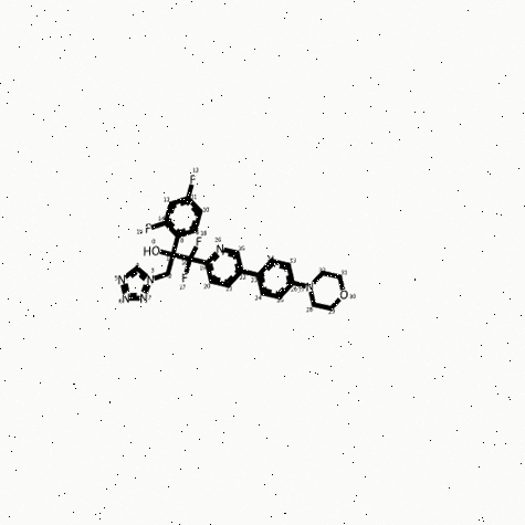 OC(Cn1cnnn1)(c1ccc(F)cc1F)C(F)(F)c1ccc(-c2ccc(N3CCOCC3)cc2)cn1